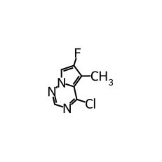 Cc1c(F)cn2ncnc(Cl)c12